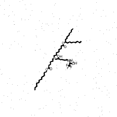 CCCCCCCCCCCOC(=O)CCCCCN(CCCCCCCC(=O)OC(CCCCCCCC)CCCCCCCC)CC(O)CCCCN.O=C(O)C(F)(F)F